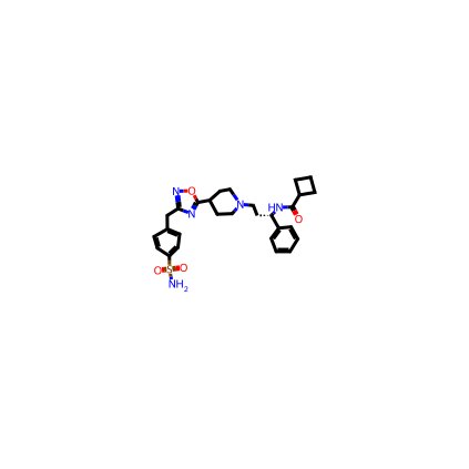 NS(=O)(=O)c1ccc(Cc2noc(C3CCN(CC[C@H](NC(=O)C4CCC4)c4ccccc4)CC3)n2)cc1